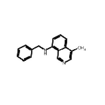 Cc1cncc2c(NCc3ccccc3)cccc12